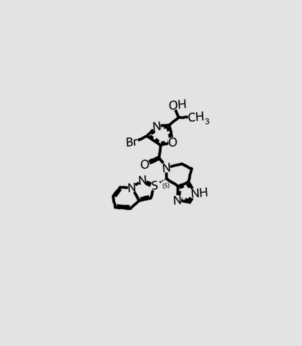 CC(O)c1nc(Br)c(C(=O)N2CCc3[nH]cnc3[C@@H]2S2=NN3C=CC=CC3=C2)o1